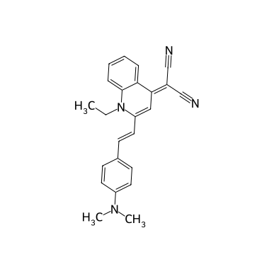 CCN1C(C=Cc2ccc(N(C)C)cc2)=CC(=C(C#N)C#N)c2ccccc21